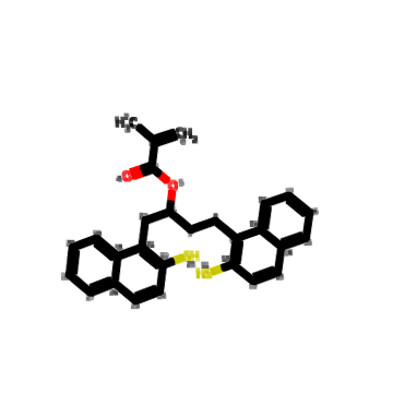 C=C(C)C(=O)OC(CCc1c(S)ccc2ccccc12)Cc1c(S)ccc2ccccc12